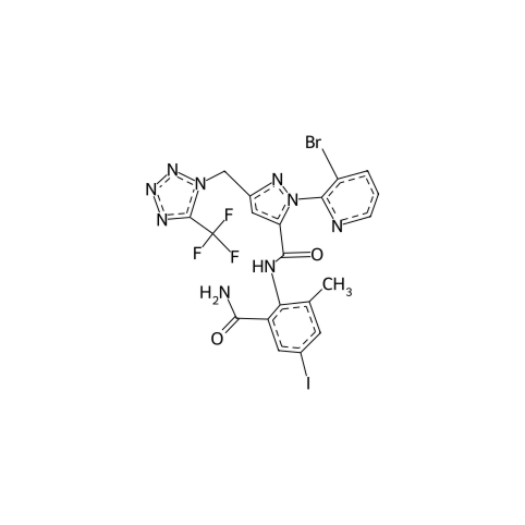 Cc1cc(I)cc(C(N)=O)c1NC(=O)c1cc(Cn2nnnc2C(F)(F)F)nn1-c1ncccc1Br